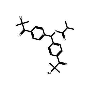 CC(C)C(=O)OC(c1ccc(C(=O)C(C)(C)O)cc1)c1ccc(C(=O)C(C)(C)O)cc1